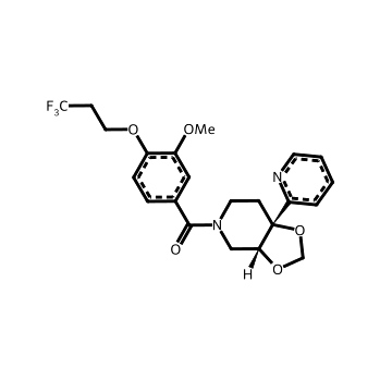 COc1cc(C(=O)N2CC[C@]3(c4ccccn4)OCO[C@@H]3C2)ccc1OCCC(F)(F)F